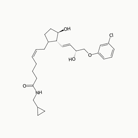 O=C(CCC/C=C\CC1CC[C@@H](O)[C@@H]1/C=C/[C@@H](O)COc1cccc(Cl)c1)NCC1CC1